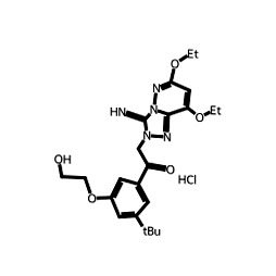 CCOc1cc(OCC)c2nn(CC(=O)c3cc(OCCO)cc(C(C)(C)C)c3)c(=N)n2n1.Cl